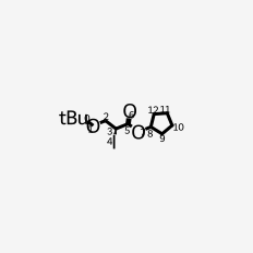 CC(C)(C)OC[C@H](I)C(=O)OC1CCCC1